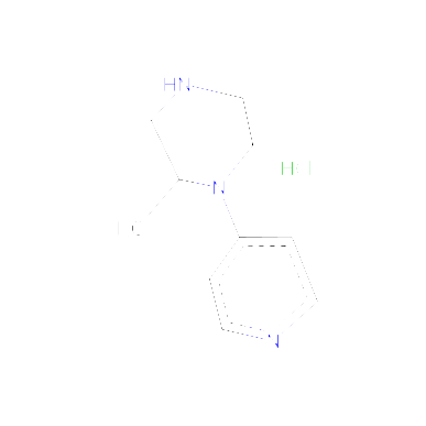 CC1CNCCN1c1ccncc1.Cl